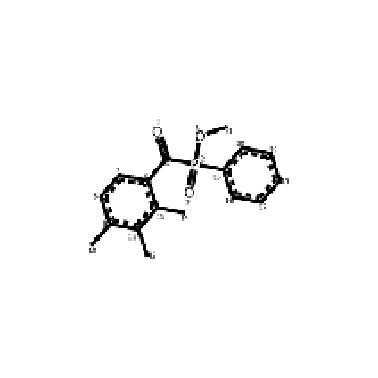 COP(=O)(C(=O)c1ccc(C)c(C)c1C)c1ccccc1